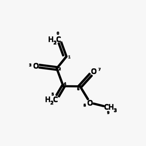 C=CC(=O)C(=C)C(=O)OC